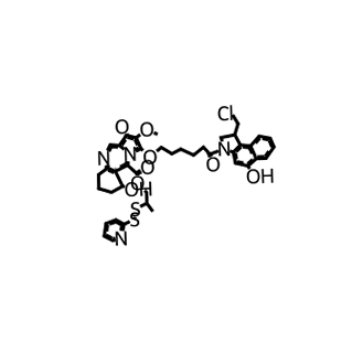 COc1c(OCCCCCC(=O)N2CC(CCl)c3c2cc(O)c2ccccc32)n2c(C(=O)OCC(C)SSc3ccccn3)c3c(ncc-2c1=O)CCCC3O